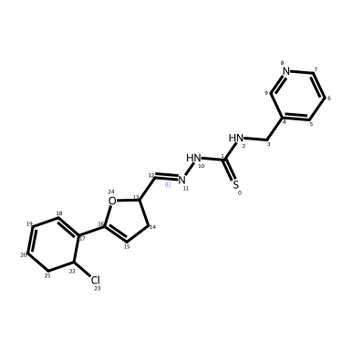 S=C(NCc1cccnc1)N/N=C/C1CC=C(C2=CC=CCC2Cl)O1